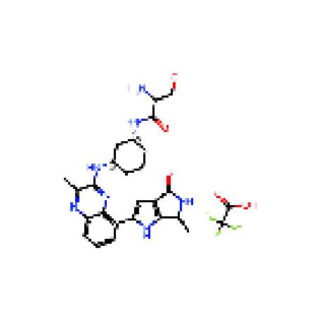 Cc1nc2cccc(-c3cc4c([nH]3)C(C)NC4=O)c2nc1N[C@H]1CCC[C@@H](NC(=O)C(N)CO)C1.O=C(O)C(F)(F)F